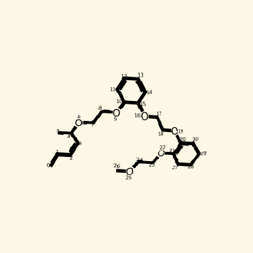 CC/C=C\C(C)OCCOC1C=CC=CC1OCCOC1=C(OCCOC)CCCC1